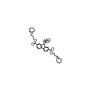 Cl.Cl.O=C(OCCCN1CCCCC1)c1ccc2c(c1)C(=O)c1cc(C(=O)OCCCN3CCCCC3)ccc1-2